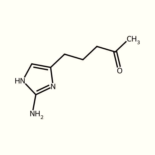 CC(=O)CCCc1c[nH]c(N)n1